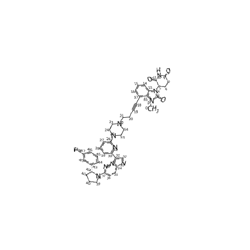 Cn1c(=O)n(C2CCC(=O)NC2=O)c2cccc(C#CCCN3CCN(c4cccc(-c5cnc6ccc(N7CCC[C@@H]7c7cccc(F)c7)nn56)n4)CC3)c21